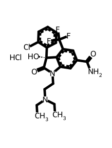 CCN(CC)CCN1C(=O)[C@@](O)(c2ccccc2Cl)c2c1cc(C(N)=O)cc2C(F)(F)F.Cl